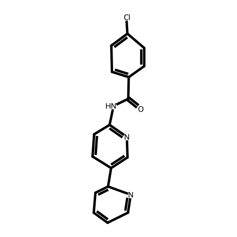 O=C(Nc1ccc(-c2ccccn2)cn1)c1ccc(Cl)cc1